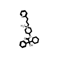 C[N+]1(CCCc2ccccn2)CCC(OC(=O)C(O)(c2ccccc2)C2CCCCC2)CC1